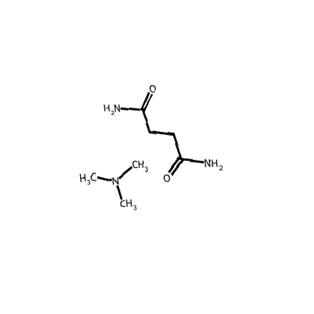 CN(C)C.NC(=O)CCC(N)=O